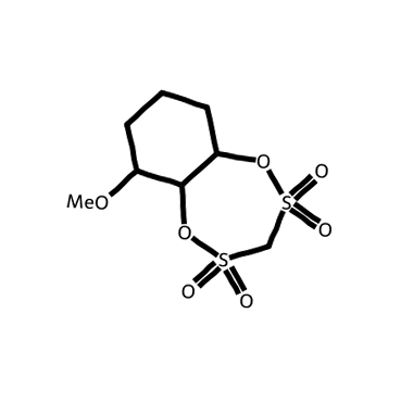 COC1CCCC2OS(=O)(=O)CS(=O)(=O)OC12